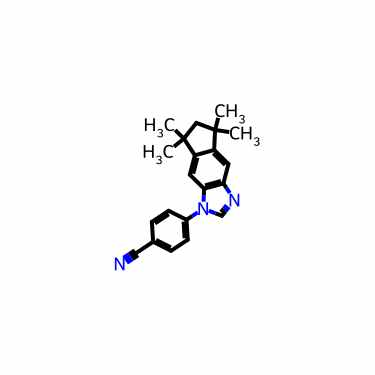 CC1(C)CC(C)(C)c2cc3c(cc21)ncn3-c1ccc(C#N)cc1